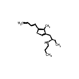 C=CCCc1scc(CC(CC)NCCC)c1C